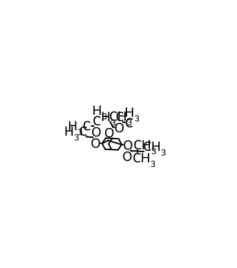 CCC(OC(C)C)OC12CC3CC(OC(=O)C(C)(C)CC)(C1)CC(OC(CC)OC(C)C)(C3)C2